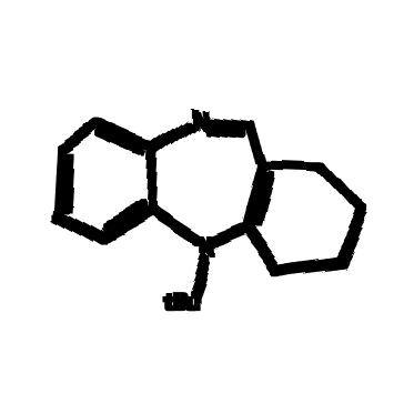 CC(C)(C)N1C2=C(C=Nc3ccccc31)CCCC2